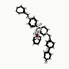 NC1CC2CCC(C1)N2C(=O)[C@H]1CN(Cc2ccc(-c3ccc(Cl)cc3)cc2)CCN1S(=O)(=O)c1ccc(OCC2CCCCC2)cc1